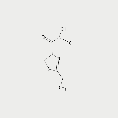 CCC1=NC(C(=O)C(C)C)CS1